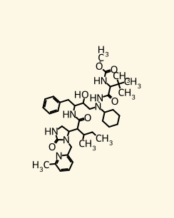 CCC(C)C(C(=O)NC(Cc1ccccc1)C(O)CN(NC(=O)C(NC(=O)OC)C(C)(C)C)C1CCCCC1)C1CNC(=O)N1Cc1cccc(C)n1